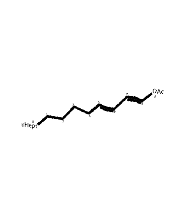 CCCCCCCCCCC/C=C/C=C/OC(C)=O